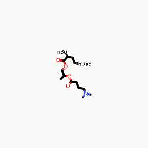 CCCCCCCCCCCCC(CCCC)C(=O)OCC(C)OC(=O)CCCN(C)C